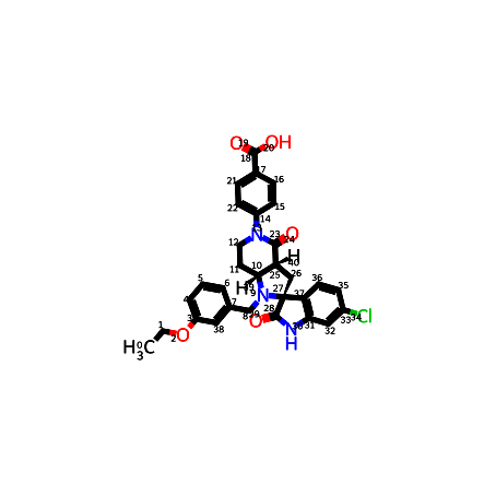 CCOc1cccc(CN2[C@@H]3CCN(c4ccc(C(=O)O)cc4)C(=O)[C@@H]3C[C@@]23C(=O)Nc2cc(Cl)ccc23)c1